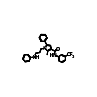 Cc1c(C(=O)Nc2cccc(C(F)(F)F)c2)cc(-c2ccccc2)n1CCCNc1ccccc1